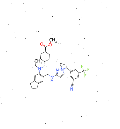 CCN(C[C@H]1CC[C@H](C(=O)OC)CC1)c1cc2c(cc1CNC1=N[N+](C)(Cc3cc(C#N)cc(C(F)(F)F)c3)C=C1)CCC2